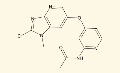 CC(=O)Nc1cc(Oc2cnc3nc(Cl)n(C)c3c2)ccn1